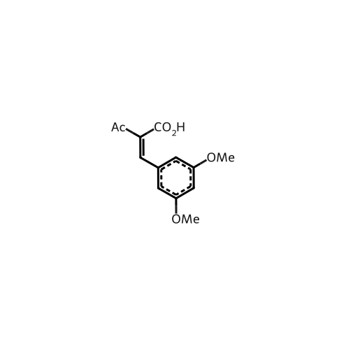 COc1cc(C=C(C(C)=O)C(=O)O)cc(OC)c1